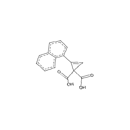 O=C(O)C1(C(=O)O)C=C1c1cccc2ccccc12